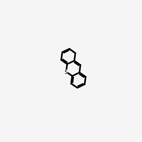 C1=CCC2=Cc3ccccc3SC2=C1